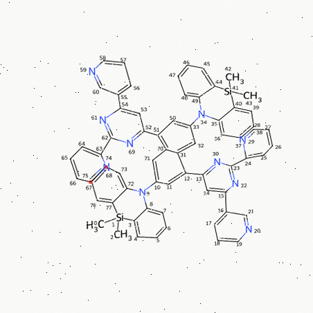 C[Si]1(C)c2ccccc2N(c2cc(-c3cc(-c4cccnc4)nc(-c4ccccn4)n3)c3cc(N4c5ccccc5[Si](C)(C)c5ccccc54)cc(-c4cc(-c5cccnc5)nc(-c5ccccn5)n4)c3c2)c2ccccc21